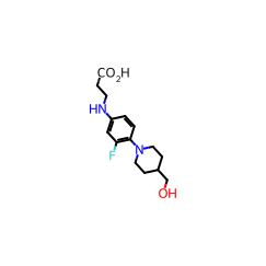 O=C(O)CCNc1ccc(N2CCC(CO)CC2)c(F)c1